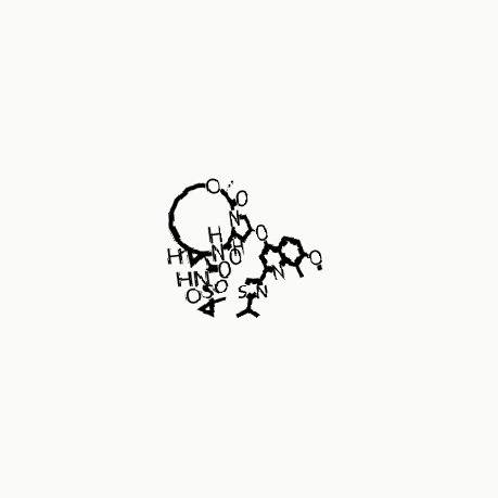 COc1ccc2c(O[C@@H]3C[C@H]4C(=O)N[C@]5(C(=O)NS(=O)(=O)C6(C)CC6)C[C@H]5/C=C\CCCCO[C@H](C)C(=O)N4C3)cc(-c3csc(C(C)C)n3)nc2c1C